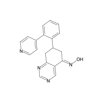 ON=C1CC(c2ccccc2-c2ccncc2)Cc2ncncc21